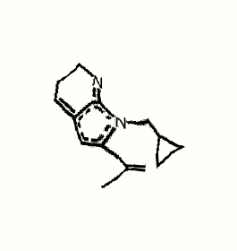 C=C(C)c1cc2c(n1CC1CC1)=NCCC=2